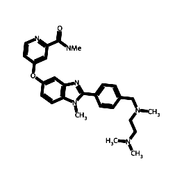 CNC(=O)c1cc(Oc2ccc3c(c2)nc(-c2ccc(CN(C)CCN(C)C)cc2)n3C)ccn1